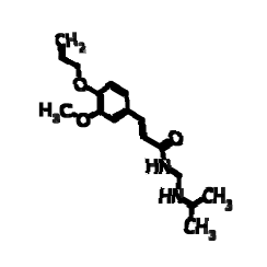 C=CCOc1ccc(C=CC(=O)NCNC(C)C)cc1OC